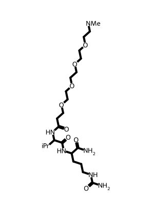 CNCCOCCOCCOCCOCCC(=O)NC(C(=O)NC(CCCNC(N)=O)C(N)=O)C(C)C